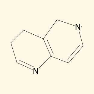 C1=CC2=C(CCC=N2)C[N]1